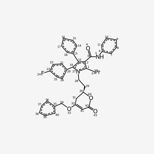 CC(C)c1c(C(=O)Nc2ccccc2)c(-c2ccccc2)c(-c2ccc(F)cc2)n1CC[C@@H]1CC(OCc2ccccc2)=CC(=O)O1